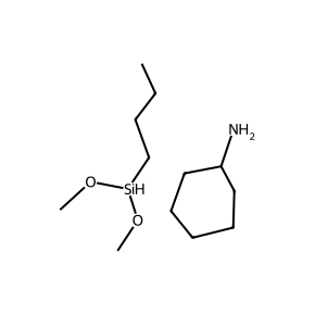 CCCC[SiH](OC)OC.NC1CCCCC1